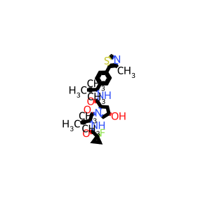 Cc1ncsc1-c1ccc(C(NC(=O)C2CC(O)CN2C(=O)C(NC(=O)C2(F)CC2)C(C)(C)C)C(C)(C)C)cc1